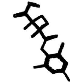 COC(=O)C1(C)CCC1(C)C(=O)Cc1c(C)cc(C)cc1C